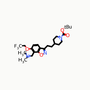 CN(C)Cc1c(OCC(F)(F)F)ccc2c(CCC3CCN(C(=O)OC(C)(C)C)CC3)noc12